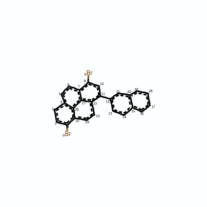 Brc1ccc2ccc3c(Br)cc(-c4ccc5ccccc5c4)c4ccc1c2c34